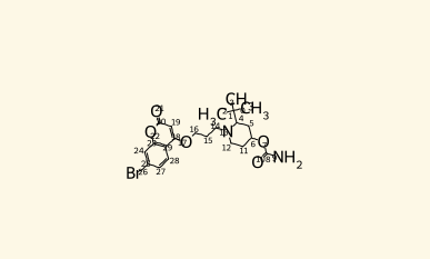 CC(C)(C)C1CC(OC(N)=O)CCN1CCCOc1cc(=O)oc2cc(Br)ccc12